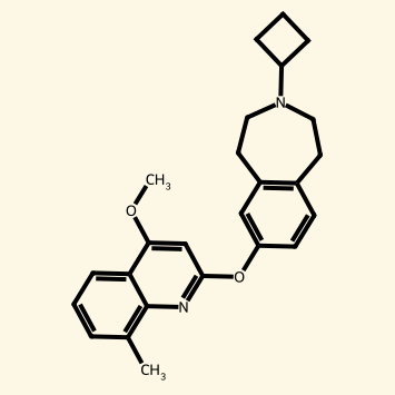 COc1cc(Oc2ccc3c(c2)CCN(C2CCC2)CC3)nc2c(C)cccc12